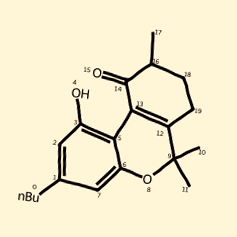 CCCCc1cc(O)c2c(c1)OC(C)(C)C1=C2C(=O)C(C)CC1